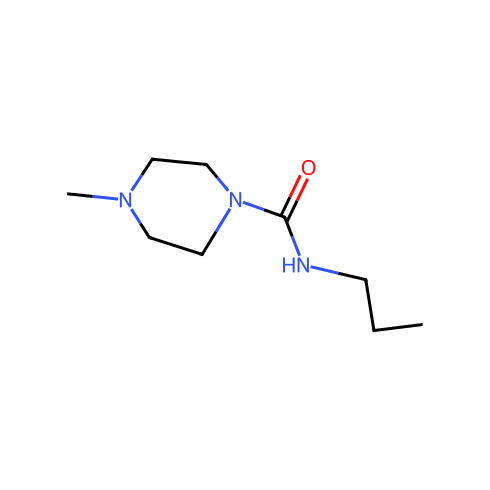 CCCNC(=O)N1CCN(C)CC1